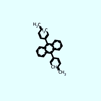 C=C/C=C\C(=C/C)c1c2ccccc2c(C(/C=C\C=C)=C/C)c2ccccc12